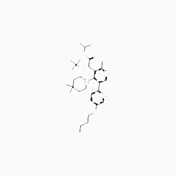 CCCCOc1ccc(-c2cnc(C)c([C@H](OC(C)(C)C)C(=O)OC(C)C)c2N2CCC(C)(C)CC2)nc1